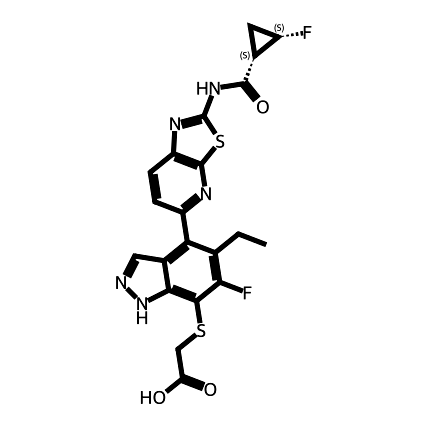 CCc1c(F)c(SCC(=O)O)c2[nH]ncc2c1-c1ccc2nc(NC(=O)[C@@H]3C[C@@H]3F)sc2n1